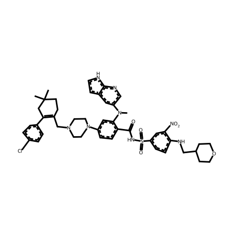 CN(c1cnc2[nH]ccc2c1)c1cc(N2CCN(CC3=C(c4ccc(Cl)cc4)CC(C)(C)CC3)CC2)ccc1C(=O)NS(=O)(=O)c1ccc(NCC2CCOCC2)c([N+](=O)[O-])c1